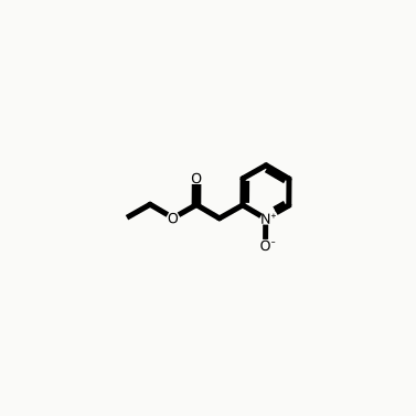 CCOC(=O)Cc1cccc[n+]1[O-]